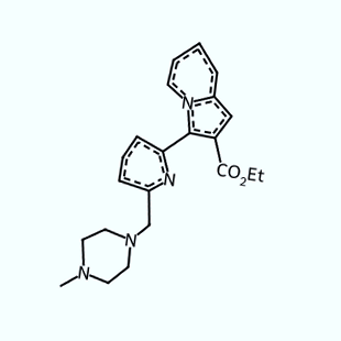 CCOC(=O)c1cc2ccccn2c1-c1cccc(CN2CCN(C)CC2)n1